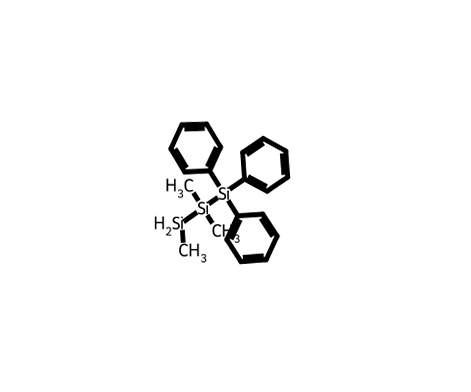 C[SiH2][Si](C)(C)[Si](c1ccccc1)(c1ccccc1)c1ccccc1